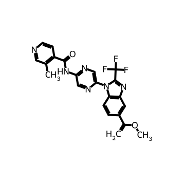 C=C(OC)c1ccc2c(c1)nc(C(F)(F)F)n2-c1cnc(NC(=O)c2ccncc2C)cn1